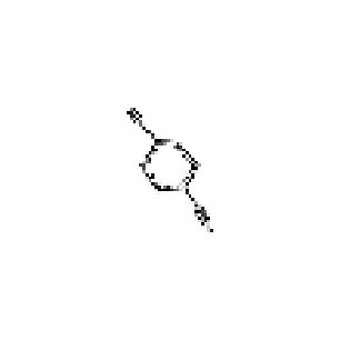 [C]#Cc1ccc(C#N)cn1